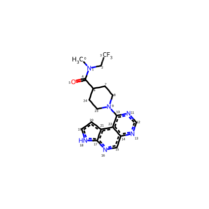 CN(CC(F)(F)F)C(=O)C1CCN(c2ncnc3cnc4[nH]ccc4c23)CC1